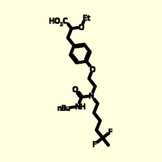 CCCCNC(=O)N(CCCCC(C)(F)F)CCOc1ccc(CC(OCC)C(=O)O)cc1